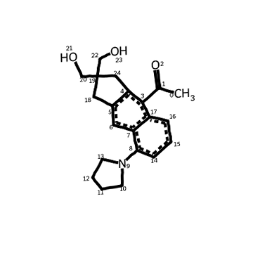 CC(=O)c1c2c(cc3c(N4CCCC4)cccc13)CC(CO)(CO)C2